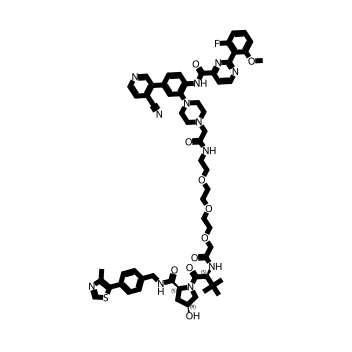 COc1cccc(F)c1-c1nccc(C(=O)Nc2ccc(-c3cnccc3C#N)cc2N2CCN(CC(=O)NCCOCCOCCOCC(=O)N[C@H](C(=O)N3C[C@H](O)C[C@H]3C(=O)NCc3ccc(-c4scnc4C)cc3)C(C)(C)C)CC2)n1